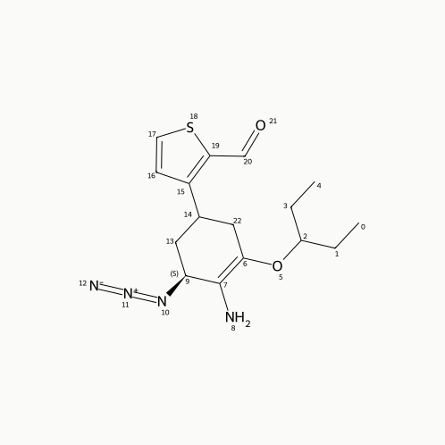 CCC(CC)OC1=C(N)[C@@H](N=[N+]=[N-])CC(c2ccsc2C=O)C1